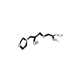 N[C@@H](CSCC(O)CN1CCOCC1)C(=O)O